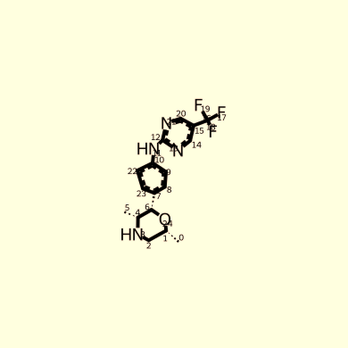 C[C@@H]1CN[C@H](C)[C@H](c2ccc(Nc3ncc(C(F)(F)F)cn3)cc2)O1